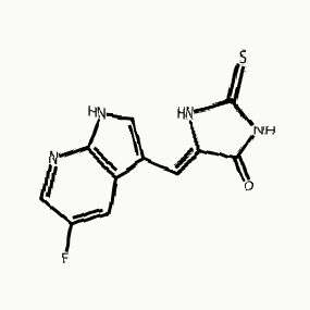 O=C1NC(=S)N/C1=C\c1c[nH]c2ncc(F)cc12